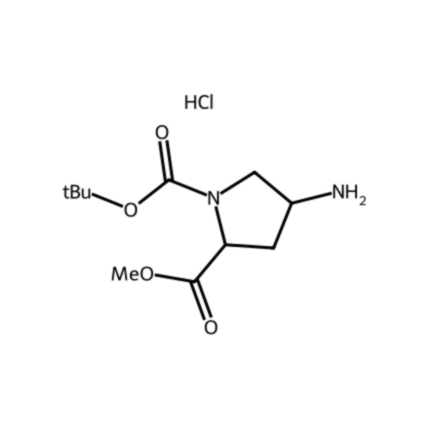 COC(=O)C1CC(N)CN1C(=O)OC(C)(C)C.Cl